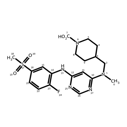 CN(CC1CCN(C(=O)O)CC1)c1cc(Nc2cc(S(C)(=O)=O)ccc2F)ncn1